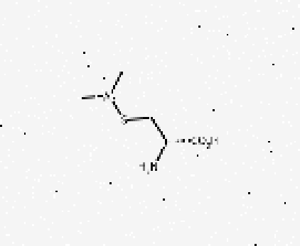 C[As](C)SC[C@@H](N)C(=O)O